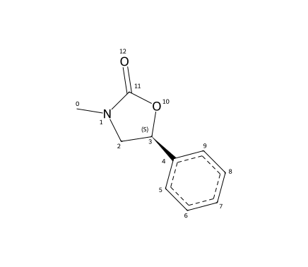 CN1C[C@H](c2ccccc2)OC1=O